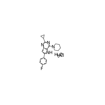 Cl.Fc1ccc(-c2cc3nc(C4CC4)nc(N4CCCCC4)c3[nH]2)cc1.O